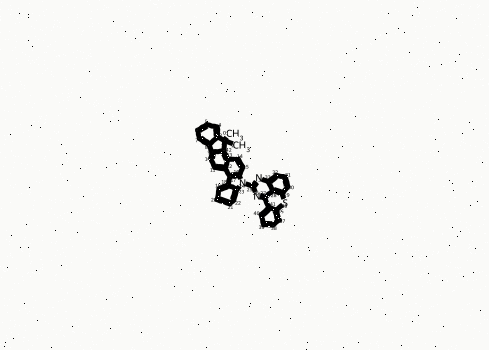 CC1(C)c2ccccc2-c2ccc3c(ccc4c3c3ccccc3n4-c3nc4c5c(cccc5n3)Sc3ccccc3-4)c21